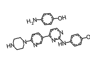 Nc1ccc(O)cc1.Oc1ccc(Nc2nccc(-c3ccc(N4CCNCC4)nc3)n2)cc1